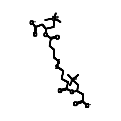 C[N+](C)(C)CC(CC(=O)[O-])OC(=O)CCCSSCCCC(=O)OC(CC(=O)[O-])C[N+](C)(C)C